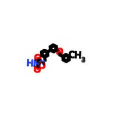 Cc1cccc(COc2cccc(-c3cccc(Cn4oc(=O)[nH]c4=O)c3)c2)c1